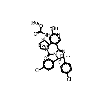 CCOc1cc(C(C)(C)C)ncc1C1=N[C@@](C)(c2ccc(Cl)cc2)[C@@](C)(c2ccc(Cl)cc2)N1C(=O)N1CC[C@H](NC(=O)OC(C)(C)C)C1